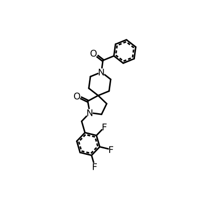 O=C(c1ccccc1)N1CCC2(CC1)CCN(Cc1ccc(F)c(F)c1F)C2=O